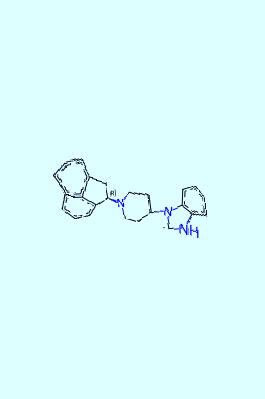 [CH]1Nc2ccccc2N1C1CCN([C@@H]2Cc3cccc4cccc2c34)CC1